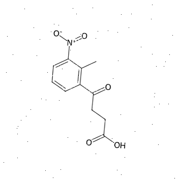 Cc1c(C(=O)CCC(=O)O)cccc1[N+](=O)[O-]